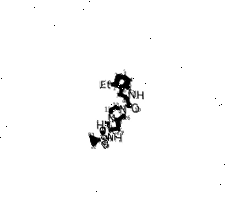 CCc1cccc2c1CC(C(=O)N1CCN3NC(NS(=O)(=O)C4CC4)CC3C1)N2